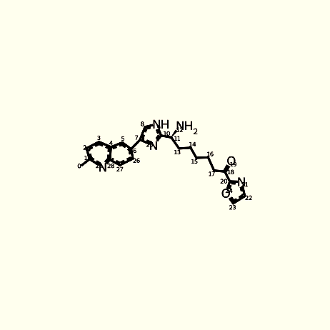 Cc1ccc2cc(-c3c[nH]c([C@@H](N)CCCCCC(=O)c4ncco4)n3)ccc2n1